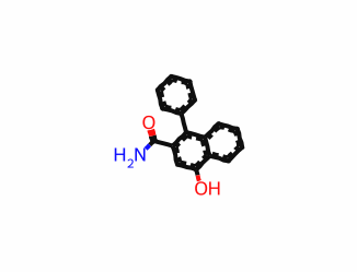 NC(=O)c1cc(O)c2ccccc2c1-c1ccccc1